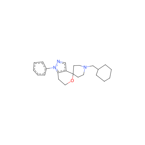 c1ccc(-n2ncc3c2CCOC32CCN(CC3CCCCC3)CC2)cc1